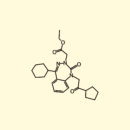 CCOC(=O)CN1N=C(C2CCCCC2)c2ccccc2N(CC(=O)C2CCCC2)C1=O